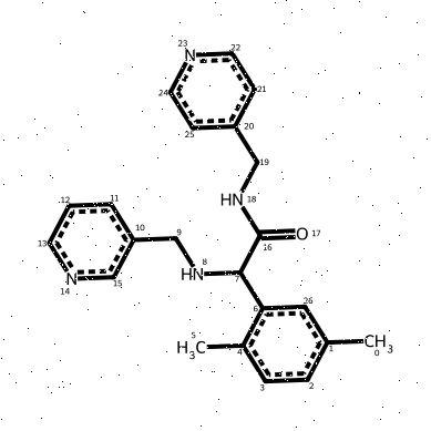 Cc1ccc(C)c(C(NCc2cccnc2)C(=O)NCc2ccncc2)c1